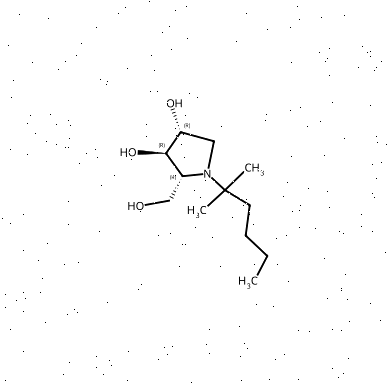 CCCCC(C)(C)N1C[C@@H](O)[C@H](O)[C@H]1CO